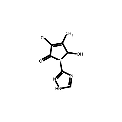 CC1=C(Cl)C(=O)N(c2nc[nH]n2)C1O